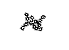 C1=CCCC(c2c3cc(N(c4ccc(-c5ccccc5)cc4)c4ccc(-c5ccccc5)cc4)ccc3c(-c3ccc4ccccc4c3)c3cc(N(c4ccc(-c5ccccc5)cc4)c4ccc(-c5ccccc5)cc4)ccc23)=C1